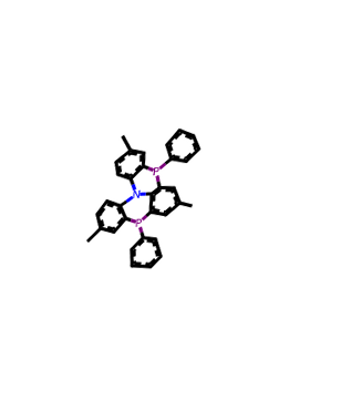 Cc1ccc2c(c1)P(c1ccccc1)c1cc(C)cc3c1N2c1ccc(C)cc1P3c1ccccc1